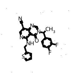 CC(c1ccc(F)c(F)c1)n1cnc2c(C#N)cnc(NCc3cccs3)c2c1=O